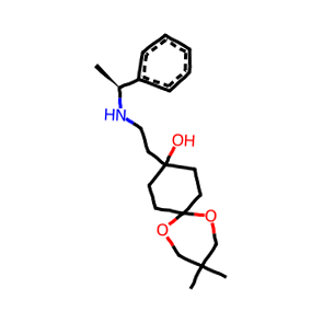 C[C@H](NCCC1(O)CCC2(CC1)OCC(C)(C)CO2)c1ccccc1